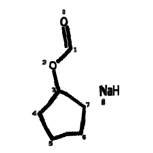 O=COC1CCCC1.[NaH]